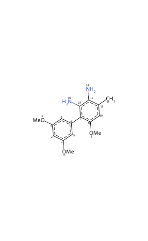 COc1cc(OC)cc(-c2c(OC)cc(C)c(N)c2N)c1